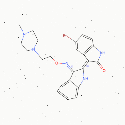 CN1CCN(CCO/N=C2/C(=C3/C(=O)Nc4ccc(Br)cc43)Nc3ccccc32)CC1